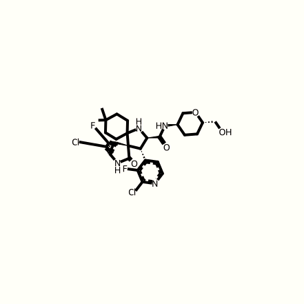 CC1(C)CCC2(CC1)N[C@@H](C(=O)N[C@@H]1CC[C@@H](CO)OC1)[C@H](c1ccnc(Cl)c1F)[C@]21C(=O)Nc2cc(Cl)c(F)cc21